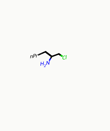 CCCCC(N)CCl